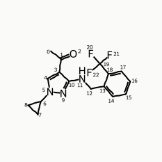 CC(=O)c1cn(C2CC2)nc1NCc1ccccc1C(F)(F)F